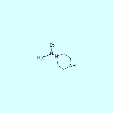 CCN(C)N1CCNCC1